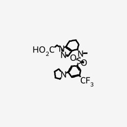 CN(C1CCCc2c1cnn2CC(=O)O)S(=O)(=O)c1cc(N2CCCC2)cc(C(F)(F)F)c1